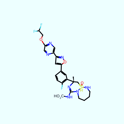 C[C@@]1(c2cc(-c3cc(-c4cnc(OCC(F)F)cn4)no3)ccc2F)C[SH]2(=O)NCCCCN2C(NC(=O)O)=N1